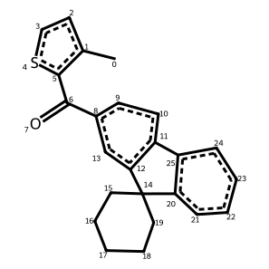 Cc1ccsc1C(=O)c1ccc2c(c1)C1(CCCCC1)c1ccccc1-2